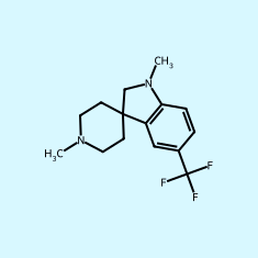 CN1CCC2(CC1)CN(C)c1ccc(C(F)(F)F)cc12